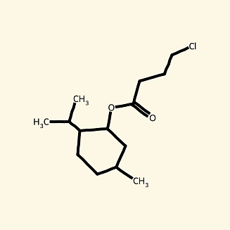 CC1CCC(C(C)C)C(OC(=O)CCCCl)C1